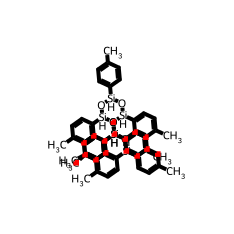 Cc1ccc([SiH](O[SiH](O[SiH](O[SiH](c2ccc(C)cc2)c2ccc(C)cc2)c2ccc(C)cc2)c2ccc(C)cc2)O[SiH](O[SiH](c2ccc(C)cc2)c2ccc(C)cc2)c2ccc(C)cc2)cc1